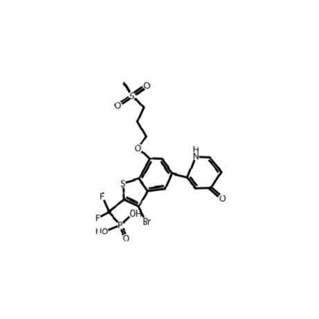 CS(=O)(=O)CCCOc1cc(-c2cc(=O)cc[nH]2)cc2c(Br)c(C(F)(F)P(=O)(O)O)sc12